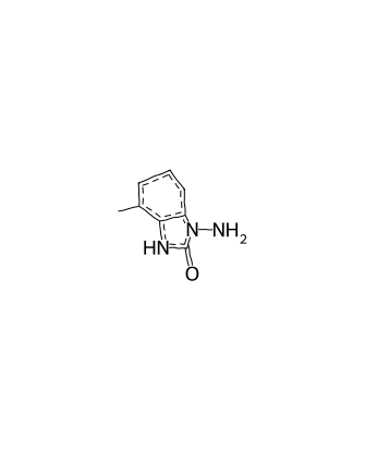 Cc1cccc2c1[nH]c(=O)n2N